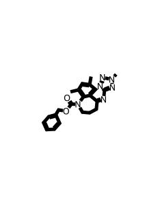 Cc1cc(C)c2c(c1)/C(=N\c1nnn(C)n1)CCCN2C(=O)OCc1ccccc1